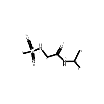 CC(C)NC(=O)CNS(C)(=O)=O